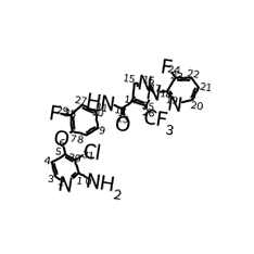 Nc1nccc(Oc2ccc(NC(=O)c3cnn(-c4ncccc4F)c3C(F)(F)F)cc2F)c1Cl